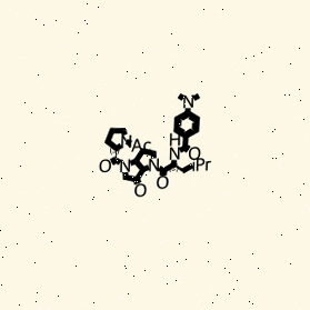 CC(=O)N1CCC[C@H]1C(=O)N1CC(=O)C2C1CCN2C(=O)[C@H](CC(C)C)NC(=O)c1ccc(N(C)C)cc1